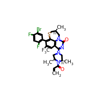 C=CC(=O)N1[C@H](C)CN(c2nc(=O)n3c4c(c(-c5cc(Br)c(F)cc5F)c(C(F)(F)F)cc24)SC[C@@H](C)C3)C[C@@H]1C